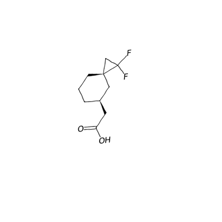 O=C(O)C[C@H]1CCC[C@@]2(C1)CC2(F)F